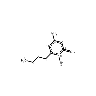 CCCCc1nc(N)cc(=O)n1S